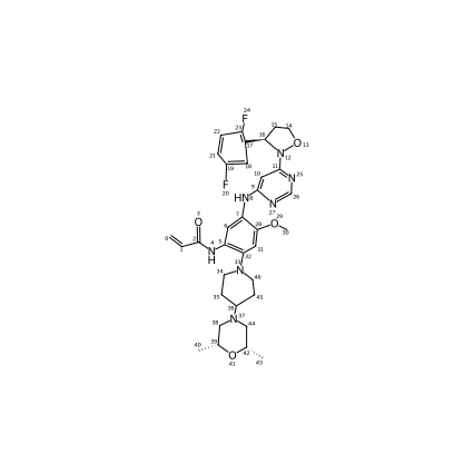 C=CC(=O)Nc1cc(Nc2cc(N3OCC[C@@H]3c3cc(F)ccc3F)ncn2)c(OC)cc1N1CCC(N2C[C@@H](C)O[C@@H](C)C2)CC1